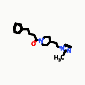 Cc1nccn1CCC1CCN(C(=O)CCCc2ccccc2)CC1